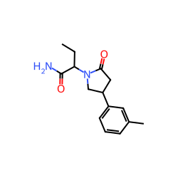 CCC(C(N)=O)N1CC(c2cccc(C)c2)CC1=O